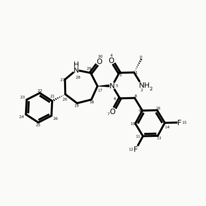 C[C@H](N)C(=O)N(C(=O)Cc1cc(F)cc(F)c1)[C@H]1CC[C@H](c2ccccc2)CNC1=O